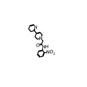 O=C(CN1CC=C(C2=NC=CCC2)CC1)Nc1ccccc1[N+](=O)[O-]